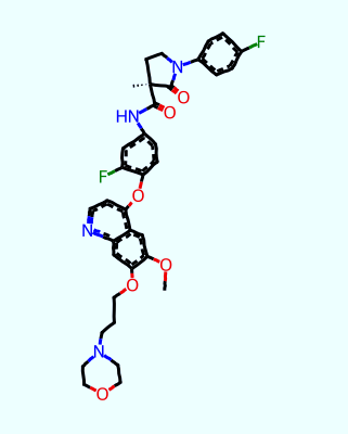 COc1cc2c(Oc3ccc(NC(=O)[C@@]4(C)CCN(c5ccc(F)cc5)C4=O)cc3F)ccnc2cc1OCCCN1CCOCC1